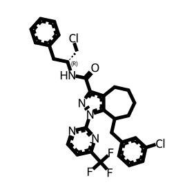 O=C(N[C@@H](CCl)Cc1ccccc1)c1nn(-c2nccc(C(F)(F)F)n2)c2c1CCCCC2Cc1cccc(Cl)c1